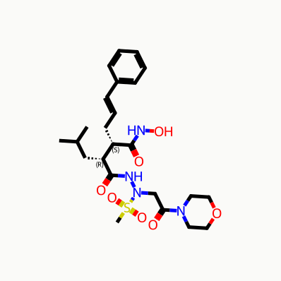 CC(C)C[C@@H](C(=O)NN(CC(=O)N1CCOCC1)S(C)(=O)=O)[C@H](CC=Cc1ccccc1)C(=O)NO